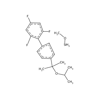 CC(C)OC(C)(C)c1ccc(-c2c(F)cc(F)cc2F)cc1.CO[SiH3]